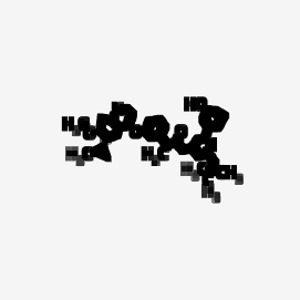 C=C(C(=O)CC1=CC(CC(C)(C)C)=NC(c2cccc(O)c2)C1)c1cccc(OC2=CC=NC3C[C@@H](OC)[C@@H](C4CC4C)CC23)c1